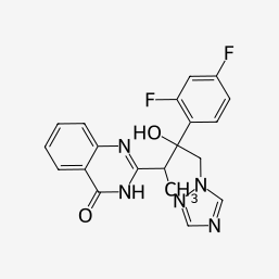 CC(c1nc2ccccc2c(=O)[nH]1)C(O)(Cn1cncn1)c1ccc(F)cc1F